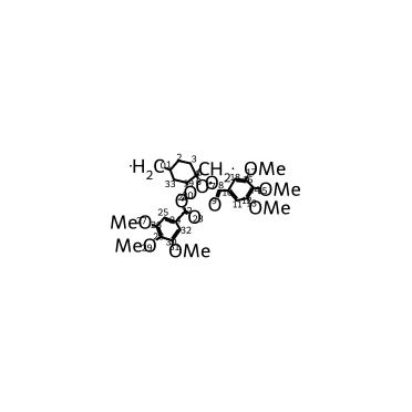 [CH2]C1CCC([CH2])(OOC(=O)c2cc(OC)c(OC)c(OC)c2)C(OOC(=O)c2cc(OC)c(OC)c(OC)c2)C1